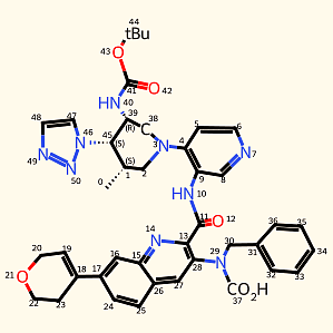 C[C@H]1CN(c2ccncc2NC(=O)c2nc3cc(C4=CCOCC4)ccc3cc2N(Cc2ccccc2)C(=O)O)C[C@@H](NC(=O)OC(C)(C)C)[C@H]1n1ccnn1